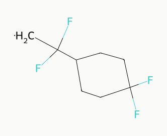 [CH2]C(F)(F)C1CCC(F)(F)CC1